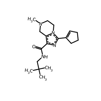 CN1CCn2c(C3=CCCC3)nc(C(=O)NCC(C)(C)C)c2C1